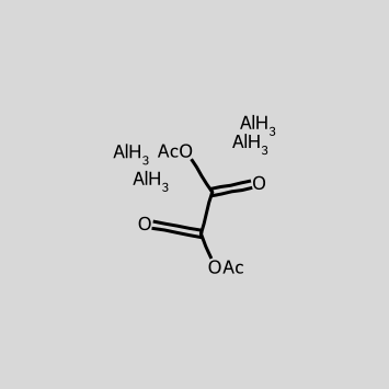 CC(=O)OC(=O)C(=O)OC(C)=O.[AlH3].[AlH3].[AlH3].[AlH3]